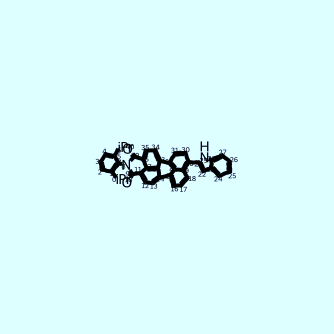 CC(C)c1cccc(C(C)C)c1N1C(=O)c2ccc3c4cccc5c(-c6cc7ccccc7[nH]6)ccc(c6ccc(c2c36)C1=O)c54